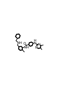 Cc1ccc(CNCc2ccccc2)cc1NC(=O)c1ccc(Nc2ncc(C)c(C)n2)cc1